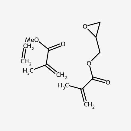 C=C.C=C(C)C(=O)OC.C=C(C)C(=O)OCC1CO1